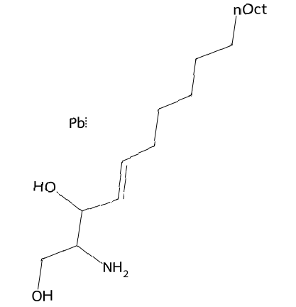 CCCCCCCCCCCCCC=CC(O)C(N)CO.[Pb]